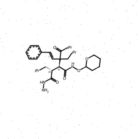 CC(C)C[C@@H](C(=O)NN)[C@H](C(=O)NOC1CCCCO1)C(/C=C/c1ccccc1)(CC(C)C)C(=O)C(C)C